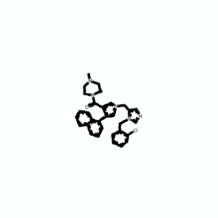 CN1CCN(C(=O)c2cn(Cc3cncn3Cc3ccccc3Cl)cc2-c2cccc3ccccc23)CC1